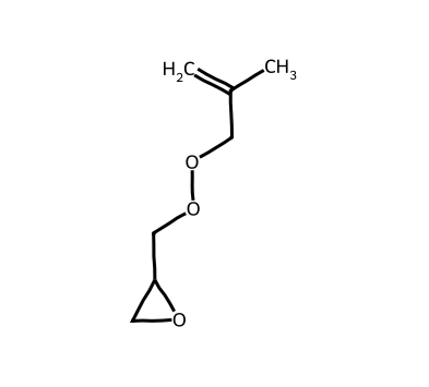 C=C(C)COOCC1CO1